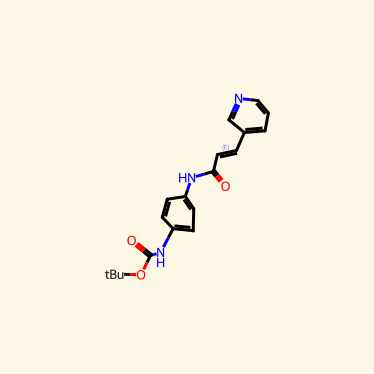 CC(C)(C)OC(=O)Nc1ccc(NC(=O)/C=C/c2cccnc2)cc1